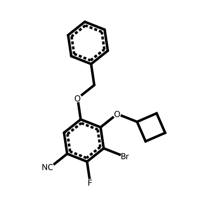 N#Cc1cc(OCc2ccccc2)c(OC2CCC2)c(Br)c1F